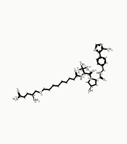 Cc1ncsc1-c1ccc(CNC(=O)[C@@H]2C[C@@H](O)CN2C(=O)[C@@H](NC(=O)CCCCCCCCOC[C@@H](N)CCC(N)=O)C(C)(C)C)cc1